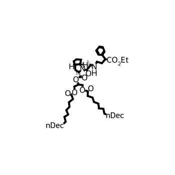 CCCCCCCCCCCCCCCCCC(=O)OCC(COC(=O)CCCCCCCCCCCCCCCCC)OC(=O)[C@@H]1C[C@@H]2CCC[C@@H]2N1C(=O)[C@H](C)NCCC(C(=O)OCC)c1ccccc1